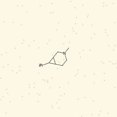 CC(C)C1C2CCN(C)CC21